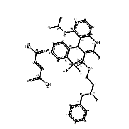 CC1=C(C(=O)OCCN(C)Cc2ccccc2)C(c2ccccc2C(F)(F)F)c2c(ccnc2OC(C)C)N1.O=C(O)C=CC(=O)O